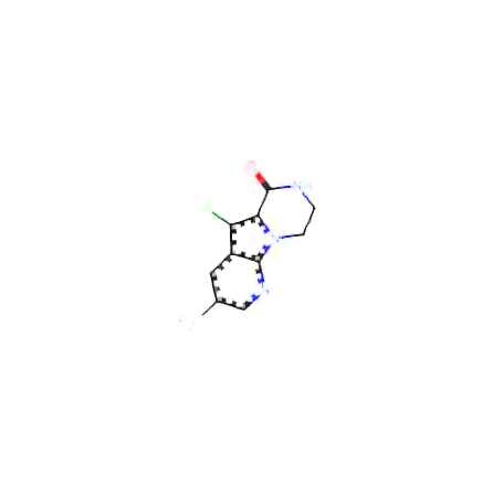 O=C1NCCn2c1c(F)c1cc(C(F)(F)F)cnc12